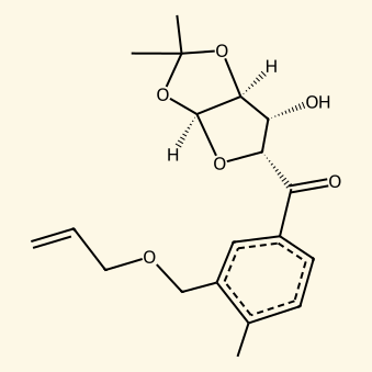 C=CCOCc1cc(C(=O)[C@@H]2O[C@H]3OC(C)(C)O[C@H]3[C@@H]2O)ccc1C